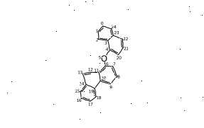 c1ccc2c(Oc3cccc4c3ccc3ccccc34)cccc2c1